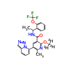 [2H]C([2H])([2H])Oc1nc(C)c(-c2cccc3cnnn23)cc1C(=O)NC(C)c1ccccc1OC(F)(F)F